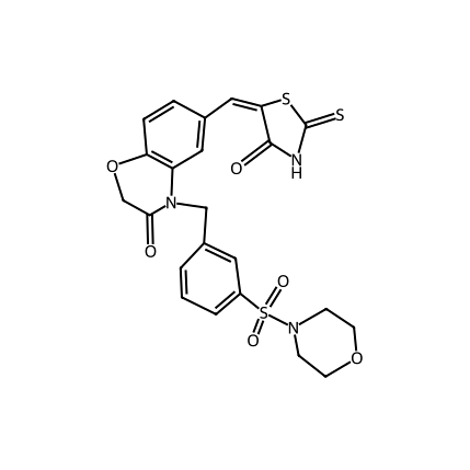 O=C1NC(=S)SC1=Cc1ccc2c(c1)N(Cc1cccc(S(=O)(=O)N3CCOCC3)c1)C(=O)CO2